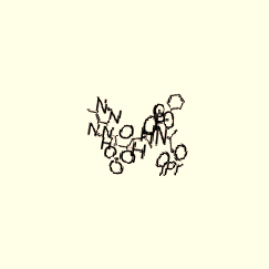 Cc1ncnc2c1ncn2[C@@H]1O[C@H]([C@H](C)OP(=O)(N[C@@H](C)C(=O)OC(C)C)Oc2ccccc2)[C@H]2OC(=O)O[C@H]21